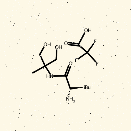 CC[C@H](C)[C@H](N)C(=O)NC(C)(CO)CO.O=C(O)C(F)(F)F